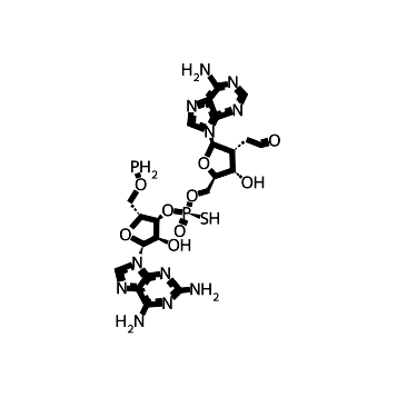 Nc1nc(N)c2ncn([C@@H]3O[C@H](COP)[C@@H](O[P@](=O)(S)OC[C@H]4O[C@@H](n5cnc6c(N)ncnc65)[C@H](CC=O)[C@@H]4O)[C@H]3O)c2n1